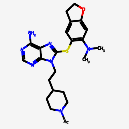 CC(=O)N1CCC(CCn2c(Sc3cc4c(cc3N(C)C)OCC4)nc3c(N)ncnc32)CC1